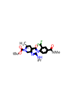 CNC(=O)c1ccc(-n2c(NC(C)C)nc3c(c2=O)C[C@@H](C)N(C(=O)OC(C)(C)C)C3)c(C(F)F)c1